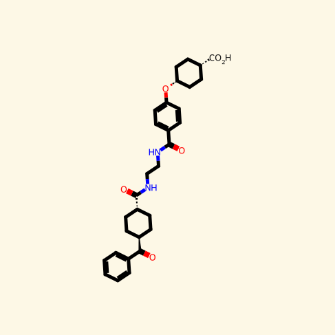 O=C(NCCNC(=O)[C@H]1CC[C@H](C(=O)c2ccccc2)CC1)c1ccc(O[C@H]2CC[C@@H](C(=O)O)CC2)cc1